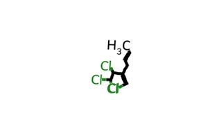 CC=CCC(=CCl)C(Cl)C(Cl)Cl